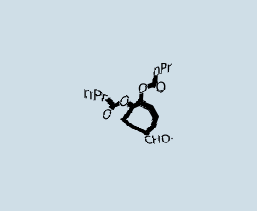 CCCC(=O)OC1CCCC([C]=O)CCC1OC(=O)CCC